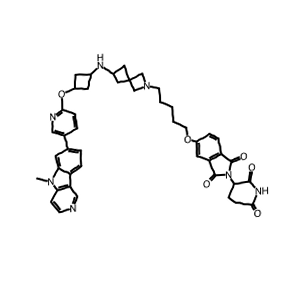 Cn1c2ccncc2c2ccc(-c3ccc(OC4CC(NC5CC6(C5)CN(CCCCCOc5ccc7c(c5)C(=O)N(C5CCC(=O)NC5=O)C7=O)C6)C4)nc3)cc21